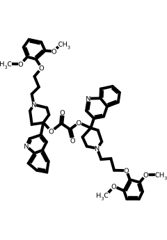 COc1cccc(OC)c1OCCCN1CCC(OC(=O)C(=O)OC2(c3cnc4ccccc4c3)CCN(CCCOc3c(OC)cccc3OC)CC2)(c2cnc3ccccc3c2)CC1